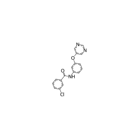 O=C(Nc1cccc(Oc2cncnc2)c1)c1cccc(Cl)c1